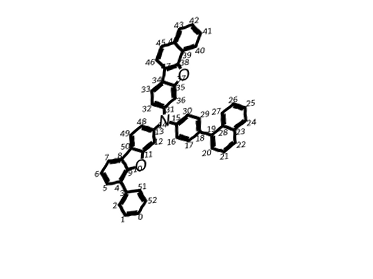 c1ccc(-c2cccc3c2oc2cc(N(c4ccc(-c5cccc6ccccc56)cc4)c4ccc5c(c4)oc4c6ccccc6ccc54)ccc23)cc1